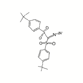 CC(C)(C)c1ccc(S(=O)(=O)C(=[N+]=[N-])S(=O)(=O)c2ccc(C(C)(C)C)cc2)cc1